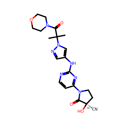 CC(C)(C(=O)N1CCOCC1)n1cc(Nc2nccc(N3CC[C@](O)(C#N)C3=O)n2)cn1